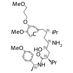 COCCCOc1cc(C[C@@H](C[C@H](N)[C@@H](O)C[C@H](C(=O)N[C@@H](C)c2ccc(OC)cc2)C(C)C)C(C)C)ccc1OC